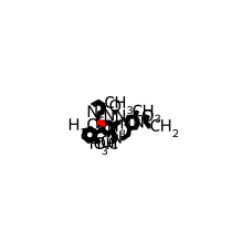 C=CC(=O)N1CC2CCN(C)c3c(Cl)c(-c4ccccc4O)c(F)c4c3c(nc(=O)n4-c3c(C)ccnc3C(C)C)N2CC1C